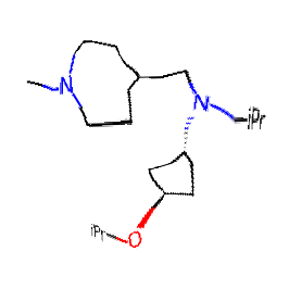 CC(C)O[C@H]1C[C@H](N(CC2CCN(C)CC2)C(C)C)C1